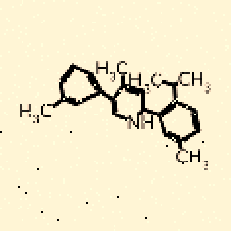 CC1=CC(c2cc(C)ccc2C(C)C)NC=C1c1cccc(C)c1